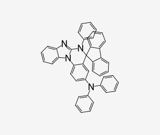 c1ccc(N(c2ccccc2)c2ccc3c(c2)C2(c4ccccc4-c4ccccc42)N(c2ccccc2)c2nc4ccccc4n2-3)cc1